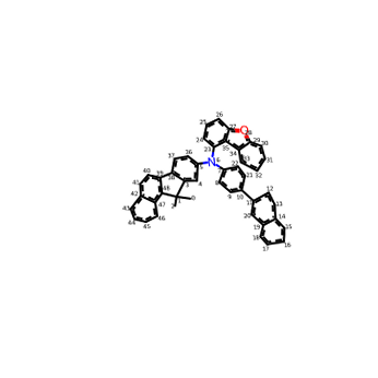 CC1(C)c2cc(N(c3ccc(-c4ccc5ccccc5c4)cc3)c3cccc4oc5ccccc5c34)ccc2-c2ccc3ccccc3c21